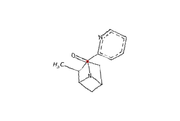 CC1CCC2CC1N2C(=O)c1ccccn1